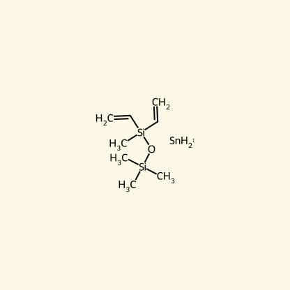 C=C[Si](C)(C=C)O[Si](C)(C)C.[SnH2]